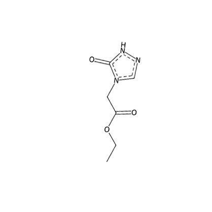 CCOC(=O)Cn1cn[nH]c1=O